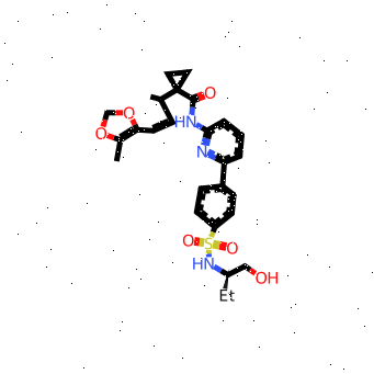 CC[C@H](CO)NS(=O)(=O)c1ccc(-c2cccc(NC(=O)C3(C(C)/C=C\C4=C(C)OCO4)CC3)n2)cc1